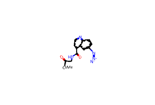 COC(=O)CNC(=O)c1ccnc2ccc(N=[N+]=[N-])cc12